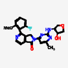 COc1cccc(F)c1-c1nccc2c1CN(c1cc(C)nc(N[C@@H]3COC[C@H]3O)n1)C2=O